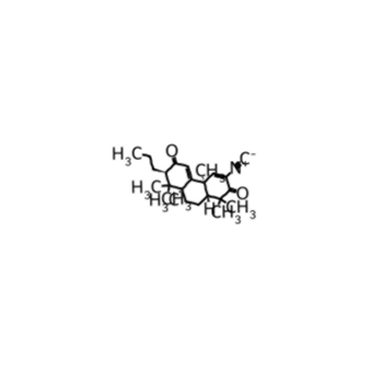 [C-]#[N+]C1=C[C@]2(C)C3=CC(=O)[C@H](CCC)C(C)(C)[C@]3(C)CC[C@H]2C(C)(C)C1=O